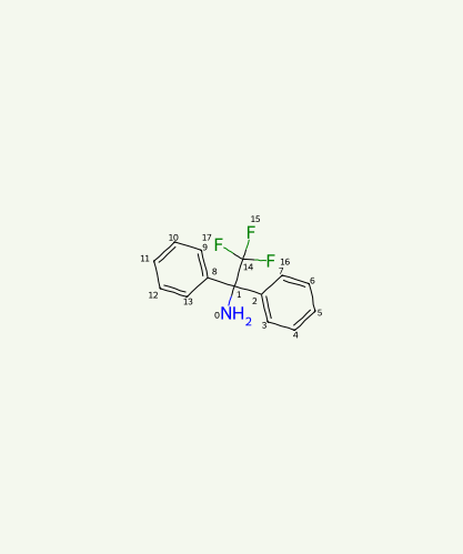 NC(c1ccccc1)(c1ccccc1)C(F)(F)F